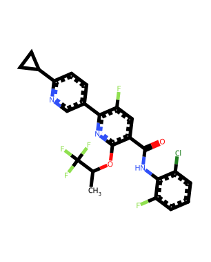 CC(Oc1nc(-c2ccc(C3CC3)nc2)c(F)cc1C(=O)Nc1c(F)cccc1Cl)C(F)(F)F